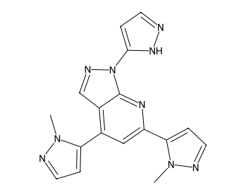 Cn1nccc1-c1cc(-c2ccnn2C)c2cnn(-c3ccn[nH]3)c2n1